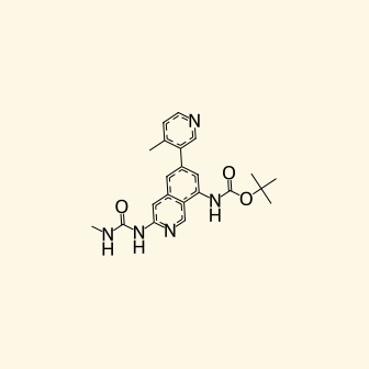 CNC(=O)Nc1cc2cc(-c3cnccc3C)cc(NC(=O)OC(C)(C)C)c2cn1